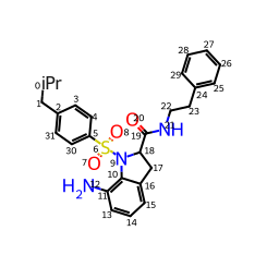 CC(C)Cc1ccc(S(=O)(=O)N2c3c(N)cccc3CC2C(=O)NCCc2ccccc2)cc1